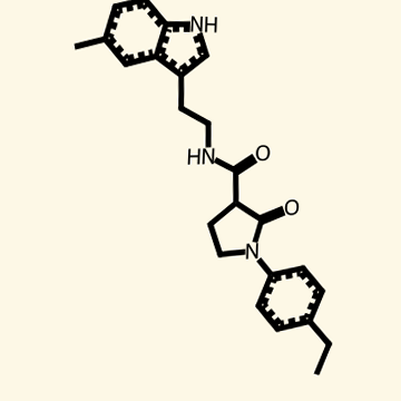 CCc1ccc(N2CCC(C(=O)NCCc3c[nH]c4ccc(C)cc34)C2=O)cc1